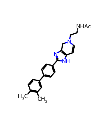 CC(=O)NCCN1C=Cc2[nH]c(-c3ccc(-c4ccc(C)c(C)c4)cc3)nc2C1